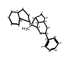 C[Si]1(C2CCC3CCCCC32)C2CCC3CC(c4ccccc4)CC1C32